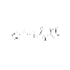 O=C(NCCCn1cncn1)C(=O)c1cccs1